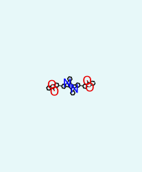 O=C1c2cc(-c3ccc4c5c6c7ccccc7n7c8cc(-c9ccc%10oc%11ccccc%11c(=O)c%10c9)ccc8c(c8c9ccccc9n(c4c3)c85)c67)ccc2OC2C=CC=CC12